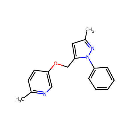 Cc1ccc(OCc2cc(C)nn2-c2ccccc2)cn1